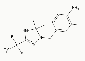 Cc1cc(CN2N=C(C(F)(F)C(F)(F)F)NC2(C)C)ccc1N